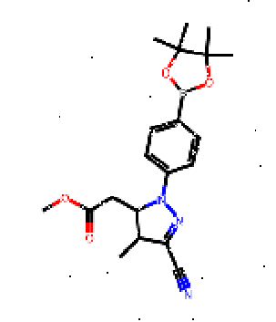 COC(=O)CC1C(C)C(C#N)=NN1c1ccc(B2OC(C)(C)C(C)(C)O2)cc1